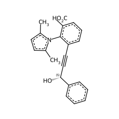 Cc1ccc(C)n1-c1c(C#C[C@@H](O)c2ccccc2)cccc1C(=O)O